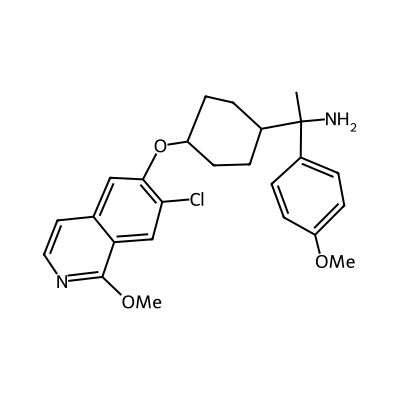 COc1ccc(C(C)(N)C2CCC(Oc3cc4ccnc(OC)c4cc3Cl)CC2)cc1